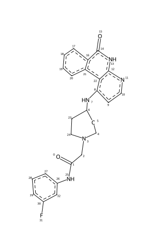 O=C(CN1CCC(Nc2ccnc3[nH]c(=O)c4ccccc4c23)CC1)Nc1cccc(F)c1